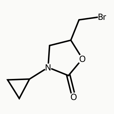 O=C1OC(CBr)CN1C1CC1